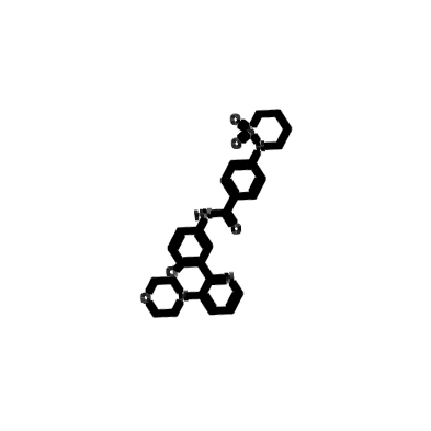 O=C(Nc1ccc(Cl)c(-c2ncccc2N2CCOCC2)c1)c1ccc(N2CCCCS2(=O)=O)cc1